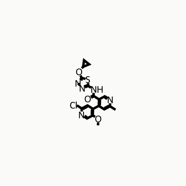 COc1cnc(Cl)cc1-c1cc(C)ncc1C(=O)Nc1nnc(OC2CC2)s1